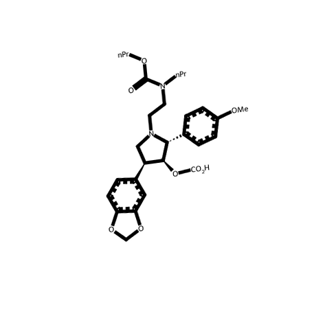 CCCOC(=O)N(CCC)CCN1C[C@H](c2ccc3c(c2)OCO3)[C@H](OC(=O)O)[C@H]1c1ccc(OC)cc1